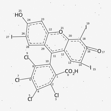 O=C(O)c1c(Cl)c(Cl)c(Cl)c(Cl)c1-c1c2cc(I)c(=O)c(I)c-2oc2cc(O)c(I)cc12